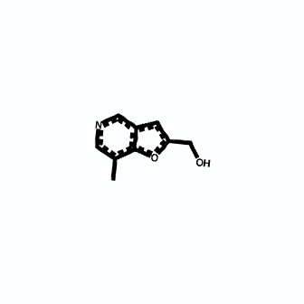 Cc1cncc2cc(CO)oc12